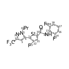 CC(C)n1nc(C(F)(F)F)cc1-c1sc(C(=O)Nc2c(F)cccc2F)cc1F